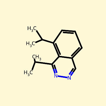 CC(C)c1cccc2cnnc(C(C)C)c12